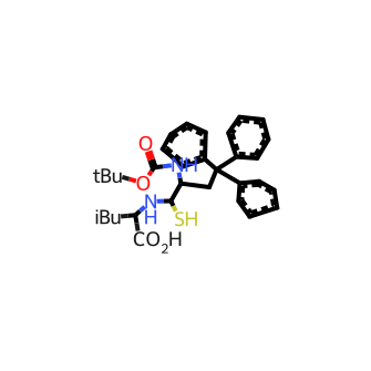 CCC(C)C(NC(S)C(CC(c1ccccc1)(c1ccccc1)c1ccccc1)NC(=O)OC(C)(C)C)C(=O)O